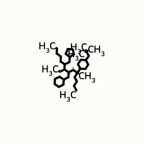 CCCCCC(CC1CCCC1)C(CC)C([CH]C(C)(CCCCC)C1CCC(CC(C)(C)C)CC1)CC1CCCCC1